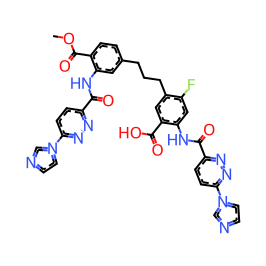 COC(=O)c1ccc(CCCc2cc(C(=O)O)c(NC(=O)c3ccc(-n4ccnc4)nn3)cc2F)cc1NC(=O)c1ccc(-n2ccnc2)nn1